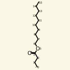 [CH2]CCC(=O)OCCCCCCCCCC